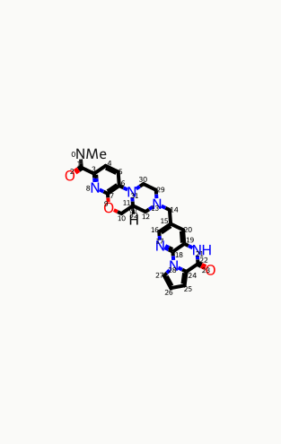 CNC(=O)c1ccc2c(n1)OC[C@H]1CN(Cc3cnc4c(c3)[nH]c(=O)c3cccn34)CCN21